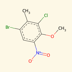 COc1c([N+](=O)[O-])cc(Br)c(C)c1Cl